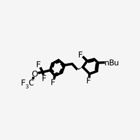 CCCCC1=CC(F)[C@H](CCc2ccc(C(F)(F)OC(F)(F)F)c(F)c2)C(F)=C1